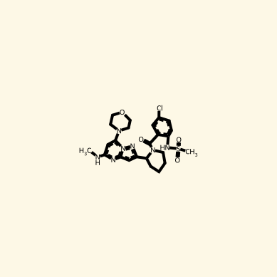 CNc1cc(N2CCOCC2)n2nc(C3CCCCN3C(=O)c3cc(Cl)ccc3NS(C)(=O)=O)cc2n1